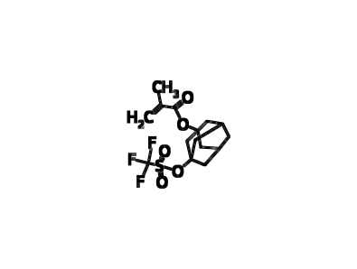 C=C(C)C(=O)OC12CC3CC(C1)CC(OS(=O)(=O)C(F)(F)F)(C3)C2